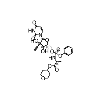 C#C[C@@]1(O)[C@H](O)[C@@H](COP(=O)(N[C@@H](C)C(=O)OC2CCOCC2)Oc2ccccc2)O[C@H]1n1ccc(=O)[nH]c1=O